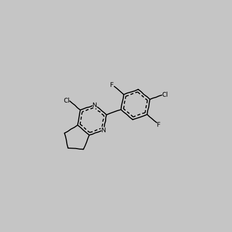 Fc1cc(-c2nc(Cl)c3c(n2)CCC3)c(F)cc1Cl